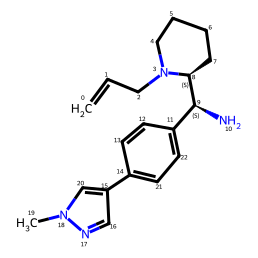 C=CCN1CCCC[C@H]1[C@@H](N)c1ccc(-c2cnn(C)c2)cc1